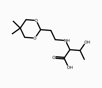 CC(O)C(NCCC1OCC(C)(C)CO1)C(=O)O